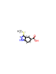 CSc1n[nH]c2ccc(C(=O)O)cc12